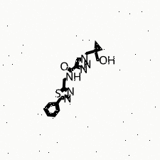 O=C(NCc1nnc(-c2ccccc2)s1)c1cn(CC2(CO)CC2)nn1